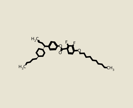 C=CCC(c1ccc(OC(=O)c2ccc(OCCCCCCCCCC)c(F)c2F)cc1)[C@H]1CC[C@H](CCCCC)CC1